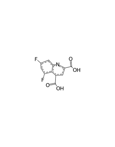 O=C(O)c1cc(C(=O)O)c2c(F)cc(F)cc2n1